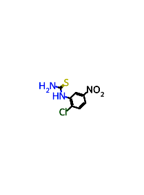 NC(=S)Nc1cc([N+](=O)[O-])ccc1Cl